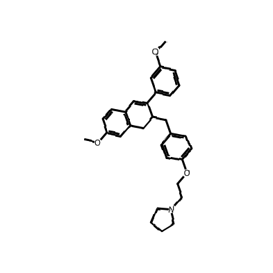 COc1cccc(C2=Cc3ccc(OC)cc3CC2Cc2ccc(OCCN3CCCC3)cc2)c1